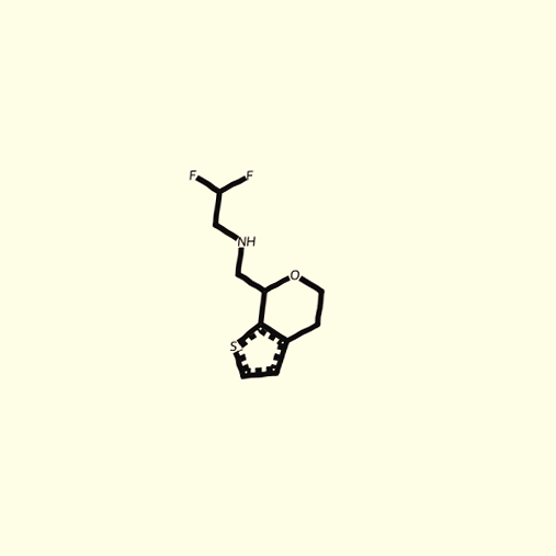 FC(F)CNCC1OCCc2ccsc21